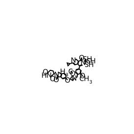 COc1cc(-c2cn(C(S)(S)S)c(=O)c3cnc(C4CC4)cc23)cc(OC)c1CN1CC(Oc2ccc3c(c2)C(=O)N(C2CCC(=O)NC2=O)C3)C1